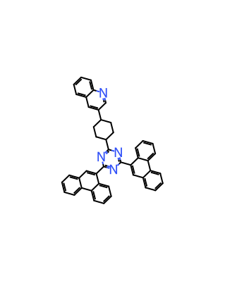 c1ccc2ncc(C3CCC(c4nc(-c5cc6ccccc6c6ccccc56)nc(-c5cc6ccccc6c6ccccc56)n4)CC3)cc2c1